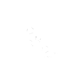 COc1ccc(CCN(CC2CC2)C(=O)c2nc(C)sc2-c2cccc(F)c2C)cc1OC